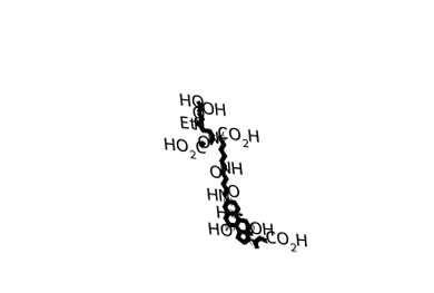 CCN(CCN(COC(=O)O)[C@@H](CCCCNC(=O)CCC(=O)N[C@H]1CC[C@]2(C)C3C[C@H](O)C4(C)C(CC[C@@H]4C(C)CCC(=O)O)C3[C@H](O)C[C@@H]2C1)C(=O)O)COC(O)O